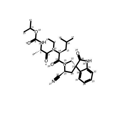 CCN(C(=O)[C@H](C)NC(=O)OC(C)C)[C@@H](CC(C)C)C(=O)N1C[C@]2(C[C@H]1C#N)C(=O)Nc1ccccc12